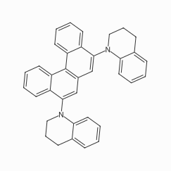 c1ccc2c(c1)CCCN2c1cc2cc(N3CCCc4ccccc43)c3ccccc3c2c2ccccc12